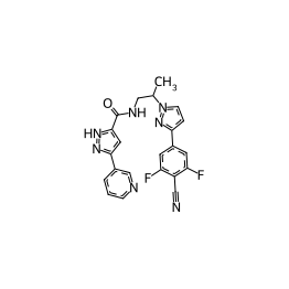 CC(CNC(=O)c1cc(-c2cccnc2)n[nH]1)n1ccc(-c2cc(F)c(C#N)c(F)c2)n1